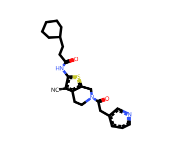 N#Cc1c(NC(=O)CCC2CCCCC2)sc2c1CCN(C(=O)Cc1cccnc1)C2